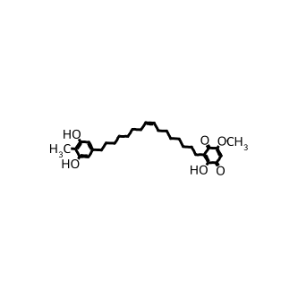 COC1=CC(=O)C(O)=C(CCCCCCC/C=C\CCCCCCCc2cc(O)c(C)c(O)c2)C1=O